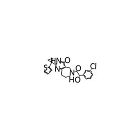 O=C(C(O)c1cccc(Cl)c1)N1CCCc2nc(C3(c4cccs4)CC3)[nH]c(=O)c2C1